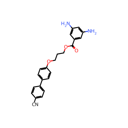 N#Cc1ccc(-c2ccc(OCCCOC(=O)c3cc(N)cc(N)c3)cc2)cc1